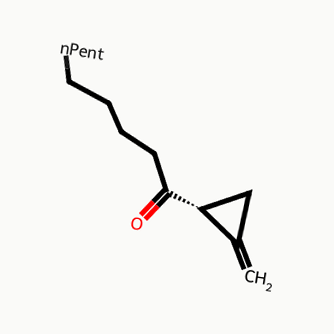 C=C1C[C@H]1C(=O)CCCCCCCCC